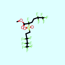 COC(=O)C(F)(CCC(F)(F)C(F)(F)F)S(=O)(=O)CCC(F)(F)C(F)(F)C(F)(F)F